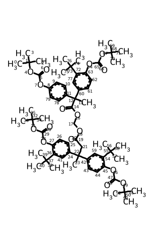 CC(C)(C)OC(=O)Oc1ccc(C(C)(C(=O)OCOC(=O)CC(C)(c2ccc(OC(=O)OC(C)(C)C)c(C(C)(C)C)c2)c2ccc(OC(=O)OC(C)(C)C)c(C(C)(C)C)c2)c2ccc(OC(=O)OC(C)(C)C)c(C(C)(C)C)c2)cc1